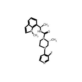 C[C@@H]1CN(c2ccncc2F)CCN1C(=O)N[C@H](C)c1cccc2ccn(C)c12